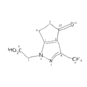 O=C(O)Cn1nc(C(F)(F)F)c2c1CCC2=O